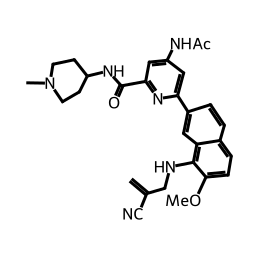 C=C(C#N)CNc1c(OC)ccc2ccc(-c3cc(NC(C)=O)cc(C(=O)NC4CCN(C)CC4)n3)cc12